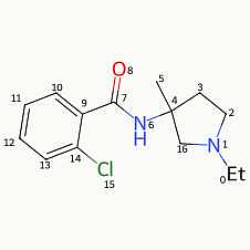 CCN1CCC(C)(NC(=O)c2ccccc2Cl)C1